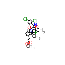 COC(=O)/C=C/c1cccc2c1c(C)cn2C(=O)c1c(-c2ccc(Cl)cc2Cl)noc1C(C)(C)F